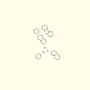 c1ccc(-c2nc(-c3ccc4ccccc4c3)nc(-c3ccc4c(-n5c6ccccc6c6cccc(-c7ccccc7)c65)cccc4c3)n2)cc1